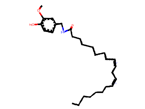 CCCCCCC/C=C\C/C=C\CCCCCCCC(=O)NCc1ccc(O)c(OC)c1